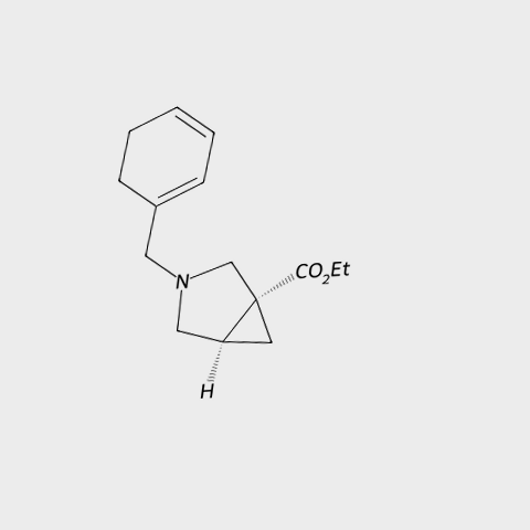 CCOC(=O)[C@]12C[C@H]1CN(CC1=CC=CCC1)C2